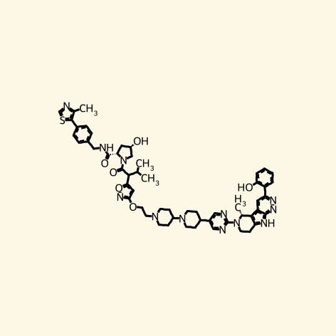 Cc1ncsc1-c1ccc(CNC(=O)[C@@H]2C[C@@H](O)CN2C(=O)C(c2cc(OCCN3CCC(N4CCC(c5cnc(N6CCc7[nH]c8nnc(-c9ccccc9O)cc8c7[C@H]6C)nc5)CC4)CC3)no2)C(C)C)cc1